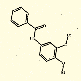 CCOc1ccc(NC(=O)c2ccccc2)cc1OCC